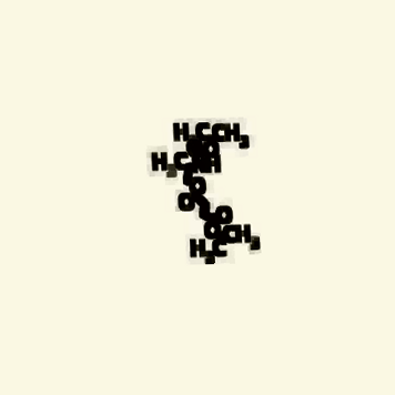 CC(C)OC(=O)/C=C/C(=O)OC[C@@H](C)NC(=O)OC(C)C